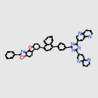 c1ccc(-c2nc3c(ccc4c5cc(-c6ccc(-c7ccc(-c8nc(-c9cnc%10cccnc%10c9)nc(-c9cnc%10cccnc%10c9)n8)cc7)c7ccccc67)ccc5oc43)o2)cc1